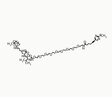 CSc1ncc(C#CCCCC(=O)NCCOCCOCCOCCOCCOCCOCCOCCOCCOCC(=O)N[C@H](C(=O)N[C@@H](CCCCNC(=O)OC(C)(C)C)C(=O)O)C(C)C)cn1